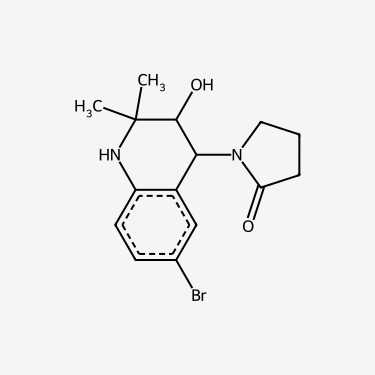 CC1(C)Nc2ccc(Br)cc2C(N2CCCC2=O)C1O